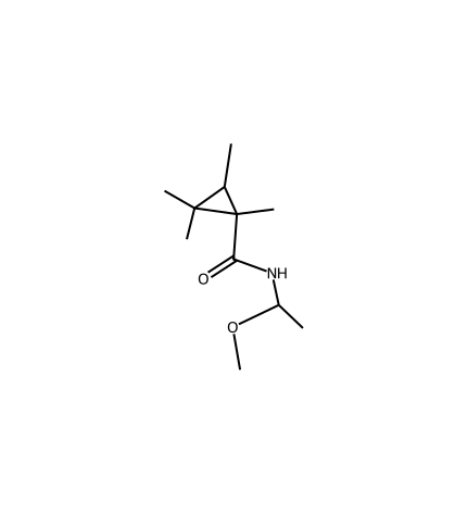 COC(C)NC(=O)C1(C)C(C)C1(C)C